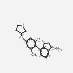 Cc1cc(O[C@H]2CCOC2)cc(C)c1-c1cccc2c1CC[C@H]2N